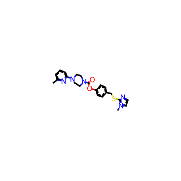 Cc1cccc(N2CCN(C(=O)Oc3ccc(CSc4nccn4C)cc3)CC2)n1